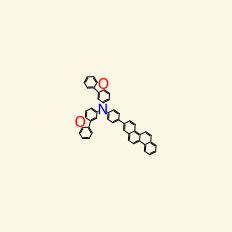 c1ccc2c(c1)ccc1c3ccc(-c4ccc(N(c5ccc6oc7ccccc7c6c5)c5ccc6oc7ccccc7c6c5)cc4)cc3ccc21